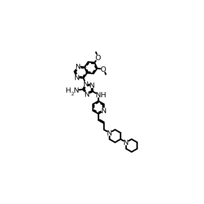 COc1cc2ncnc(-n3nc(Nc4ccc(/C=C/CN5CCC(N6CCCCC6)CC5)nc4)nc3N)c2cc1OC